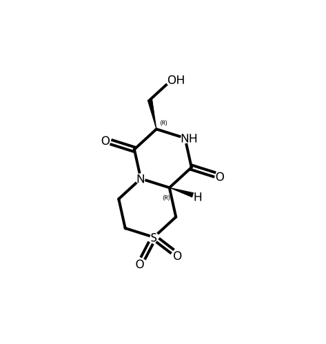 O=C1N[C@H](CO)C(=O)N2CCS(=O)(=O)C[C@@H]12